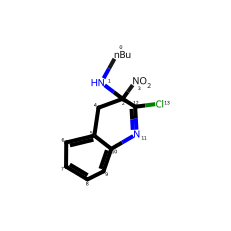 CCCCNC1([N+](=O)[O-])Cc2ccccc2N=C1Cl